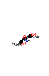 COc1ccc(C=C2CN(C(C)C)CC(=Cc3ccc(OC)c(O)c3)C2=O)cc1O